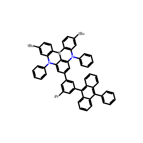 CC(C)c1cc(-c2cc3c4c(c2)N(c2ccccc2)c2cc(C(C)(C)C)ccc2B4c2ccc(C(C)(C)C)cc2N3c2ccccc2)cc(-c2c3ccccc3c(-c3ccccc3)c3ccccc23)c1